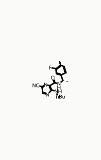 CCCCNc1ncc(C#N)nc1C(=O)N[C@@H](C)c1ccc(C)c(F)c1